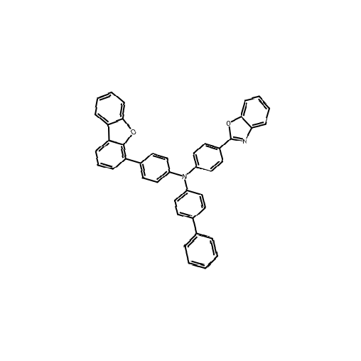 c1ccc(-c2ccc(N(c3ccc(-c4nc5ccccc5o4)cc3)c3ccc(-c4cccc5c4oc4ccccc45)cc3)cc2)cc1